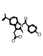 C=C(C)c1ccc2c(c1)c(CC(=O)Cl)c(C)n2C(=O)c1ccc(Cl)cc1